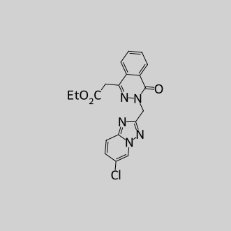 CCOC(=O)Cc1nn(Cc2nc3ccc(Cl)cn3n2)c(=O)c2ccccc12